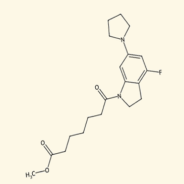 COC(=O)CCCCCC(=O)N1CCc2c(F)cc(N3CCCC3)cc21